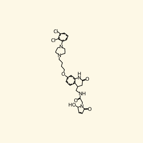 O=C(CN1C(=O)C=CC1O)NCC1CC(=O)Nc2cc(OCCCCN3CCN(c4cccc(Cl)c4Cl)CC3)ccc21